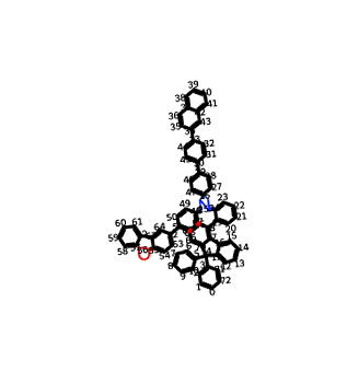 c1ccc(C2(c3ccccc3)c3ccccc3-c3c(-c4ccccc4N(c4ccc(-c5ccc(-c6ccc7ccccc7c6)cc5)cc4)c4ccc(-c5ccc6oc7ccccc7c6c5)cc4)cccc32)cc1